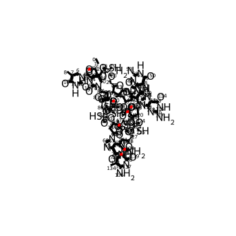 CC[C@H]1O[C@@H](n2cc(C)c(=O)[nH]c2=O)CC1OP(=O)(S)OC[C@H]1O[C@@H](n2cc(C)c(=O)[nH]c2=O)CC1OP(=O)(S)OC[C@H]1O[C@@H](n2cnc3c(=O)[nH]c(N)nc32)CC1OP(=O)(S)OC[C@H]1O[C@@H](n2cnc3c(=O)[nH]c(N)nc32)CC1OP(=O)(S)OC[C@H]1O[C@@H](n2cc(C)c(=O)[nH]c2=O)CC1OP(=O)(S)OC[C@H]1O[C@@H](n2cnc3c(=O)[nH]c(N)nc32)CC1OP(=O)(S)OC[C@H]1O[C@@H](n2cc(C)c(N)nc2=O)CC1OP(=O)(S)OC